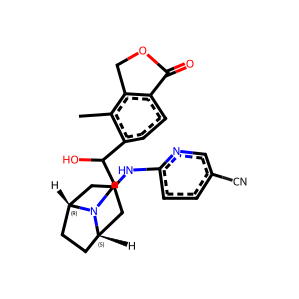 Cc1c(C(O)CN2[C@@H]3CC[C@H]2CC(Nc2ccc(C#N)cn2)C3)ccc2c1COC2=O